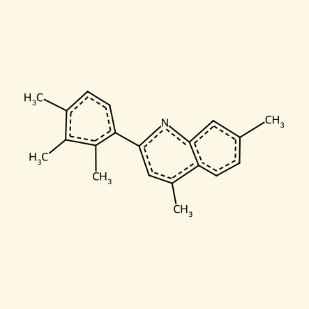 Cc1ccc2c(C)cc(-c3ccc(C)c(C)c3C)nc2c1